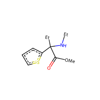 CCNC(CC)(C(=O)OC)c1cccs1